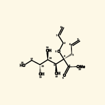 C=CCO[C@@](CC=C)(C(=O)OC)[C@@H](O)[C@H](O)[C@H](O)CO